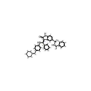 C[C@@H](NC(=O)c1ccc2c(c1)/C(=C(/Nc1ccc(CN3CCCCC3)cc1)c1ccccc1)C(=O)N2)c1ccccc1